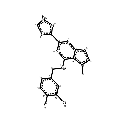 Cc1csc2nc(-c3nc[nH]n3)nc(NCc3ccc(Cl)c(Cl)c3)c12